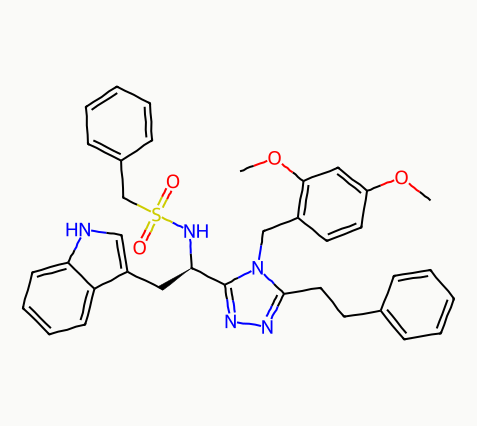 COc1ccc(Cn2c(CCc3ccccc3)nnc2[C@@H](Cc2c[nH]c3ccccc23)NS(=O)(=O)Cc2ccccc2)c(OC)c1